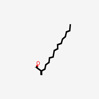 C=C([C]=O)CCCCCCCCCCCCCC